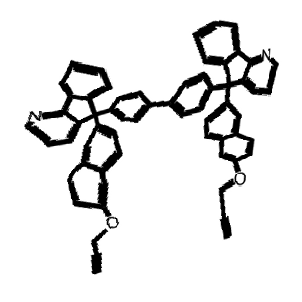 C#CCOc1ccc2cc(C3(c4ccc(-c5ccc(C6(c7ccc8cc(OCC#C)ccc8c7)c7ccccc7-c7ncccc76)cc5)cc4)c4ccccc4-c4ncccc43)ccc2c1